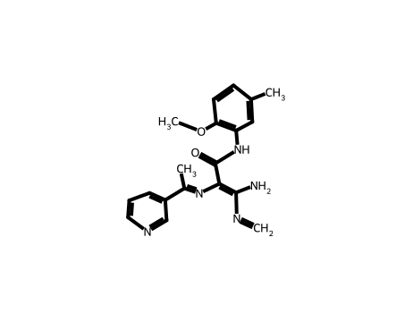 C=N/C(N)=C(\N=C(/C)c1cccnc1)C(=O)Nc1cc(C)ccc1OC